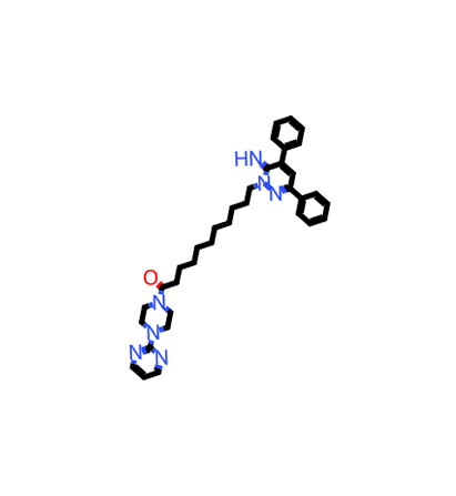 N=c1c(-c2ccccc2)cc(-c2ccccc2)nn1CCCCCCCCCCC(=O)N1CCN(c2ncccn2)CC1